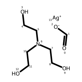 O=C[O-].OCCN(CCO)CCO.[Ag+]